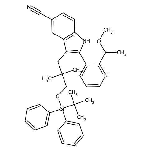 COC(C)c1ncccc1-c1[nH]c2ccc(C#N)cc2c1CC(C)(C)CO[Si](c1ccccc1)(c1ccccc1)C(C)(C)C